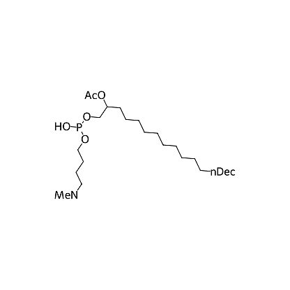 CCCCCCCCCCCCCCCCCCCCC(COP(O)OCCCCNC)OC(C)=O